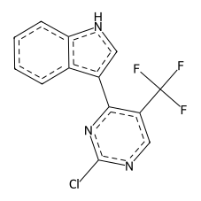 FC(F)(F)c1cnc(Cl)nc1-c1c[nH]c2ccccc12